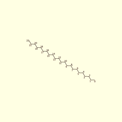 CCCCCCCC[CH]CCCCCCCCCCCCCC